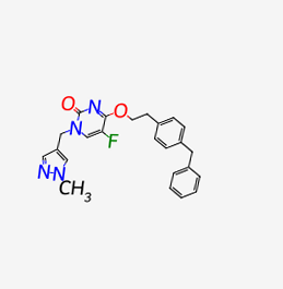 Cn1cc(Cn2cc(F)c(OCCc3ccc(Cc4ccccc4)cc3)nc2=O)cn1